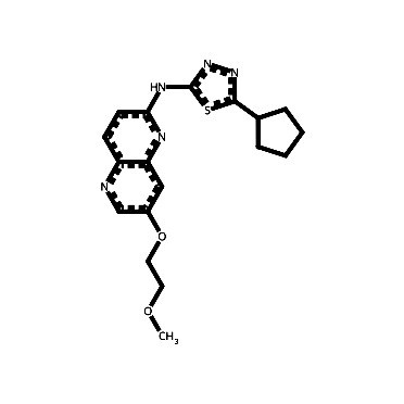 COCCOc1cnc2ccc(Nc3nnc(C4CCCC4)s3)nc2c1